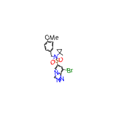 COc1ccc(CN(C2(C)CC2)S(=O)(=O)c2cc(Br)c3nncn3c2)cc1